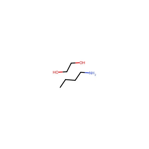 CCCCN.OCCO